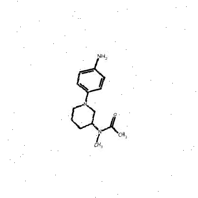 CC(=O)N(C)C1CCCN(c2ccc(N)cc2)C1